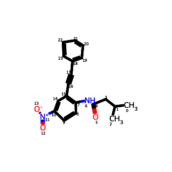 CC(C)CC(=O)Nc1ccc([N+](=O)[O-])cc1C#Cc1ccccc1